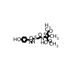 COC(=O)c1c(NC(=O)CSc2nnc(-c3ccc(O)cc3)o2)sc(C(C)=O)c1C